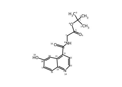 CC(C)(C)OC(=O)CNC(=O)c1ccnc2ccc(O)cc12